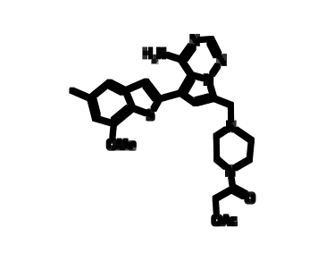 COc1cc(C)cc2cc(-c3cc(CN4CCN(C(=O)COC(C)=O)CC4)n4ncnc(N)c34)sc12